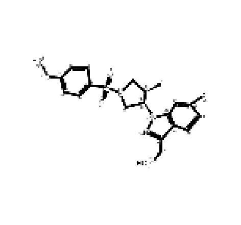 C[C@@H]1CN(S(=O)(=O)c2ccc(OC(F)(F)F)cc2)C[C@@H]1n1nc(CC(=O)O)c2ccc(Cl)cc21